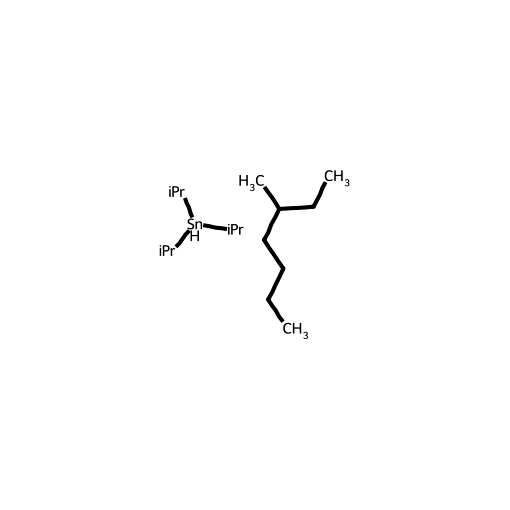 CCCCC(C)CC.C[CH](C)[SnH]([CH](C)C)[CH](C)C